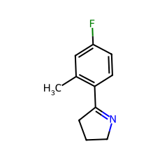 Cc1cc(F)ccc1C1=NCCC1